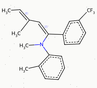 C/C=C(C)/C=C(/c1cccc(C(F)(F)F)c1)N(C)c1ccccc1C